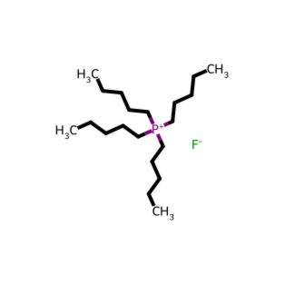 CCCCC[P+](CCCCC)(CCCCC)CCCCC.[F-]